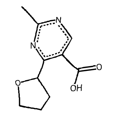 Cc1ncc(C(=O)O)c(C2CCCO2)n1